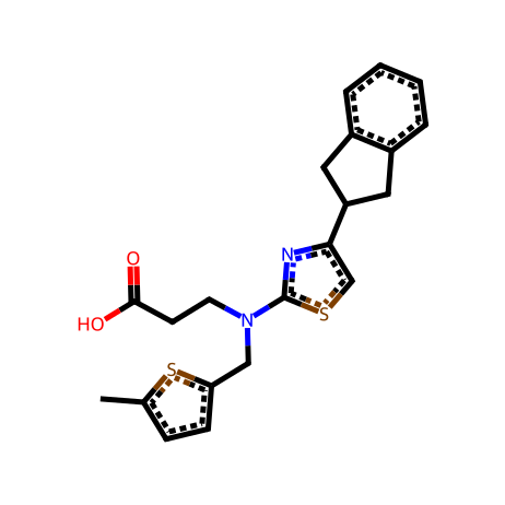 Cc1ccc(CN(CCC(=O)O)c2nc(C3Cc4ccccc4C3)cs2)s1